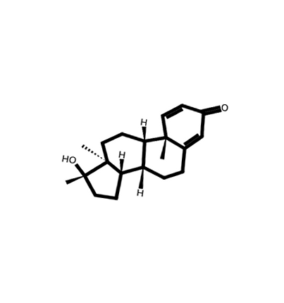 C[C@]1(O)CC[C@H]2[C@H]3CCC4=CC(=O)C=C[C@@]4(C)[C@H]3CC[C@@]21C